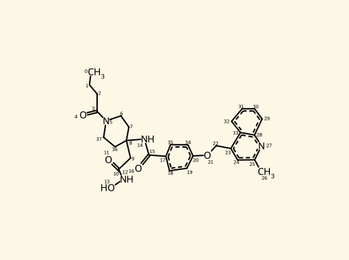 CCCC(=O)N1CCC(CC(=O)NO)(NC(=O)c2ccc(OCc3cc(C)nc4ccccc34)cc2)CC1